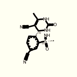 CC1=C(C#N)[C@@H](c2ccc(C#N)cc2[S@@](C)(=N)=O)NC(=O)N1